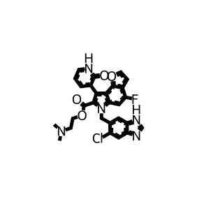 CN(C)CCOC(=O)c1c(-c2ccc[nH]c2=O)c2c3occc3c(F)cc2n1Cc1cc2[nH]cnc2cc1Cl